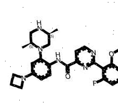 COc1cccc(F)c1-c1nccc(C(=O)Nc2ccc(N3CCC3)cc2N2C[C@H](C)NC[C@@H]2C)n1